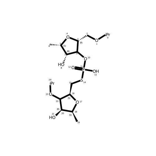 CC(C)OC[C@H]1O[C@@H](C)[C@@H](O)C1OP(=O)(O)SC[C@H]1O[C@@H](C)[C@@H](O)C1OC(C)C